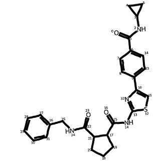 O=C(NC1CC1)c1ccc(-c2csc(NC(=O)C3CCCC3C(=O)NCc3ccccc3)n2)cc1